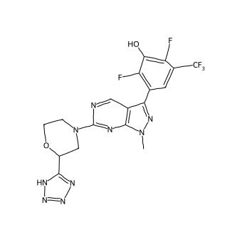 Cn1nc(-c2cc(C(F)(F)F)c(F)c(O)c2F)c2cnc(N3CCOC(c4nnn[nH]4)C3)nc21